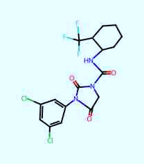 O=C(NC1CCCCC1C(F)(F)F)N1CC(=O)N(c2cc(Cl)cc(Cl)c2)C1=O